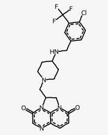 O=c1ccc2ncc(=O)n3c2n1CC3CN1CCC(NCc2ccc(Cl)c(C(F)(F)F)c2)CC1